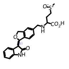 C[S+]([O-])CCC(NCc1ccc2c(c1)CO/C2=C1/C(=O)Nc2ccccc21)C(=O)O